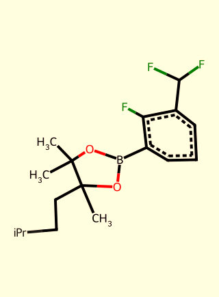 CC(C)CCC1(C)OB(c2cccc(C(F)F)c2F)OC1(C)C